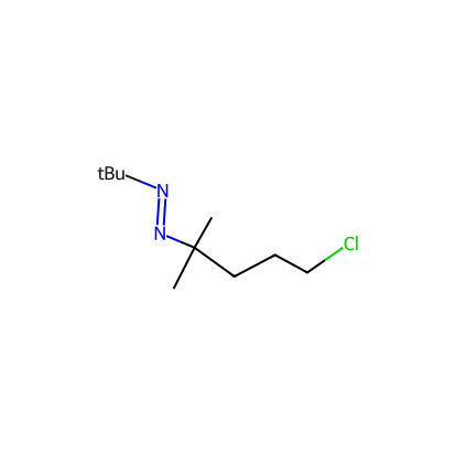 CC(C)(C)N=NC(C)(C)CCCCl